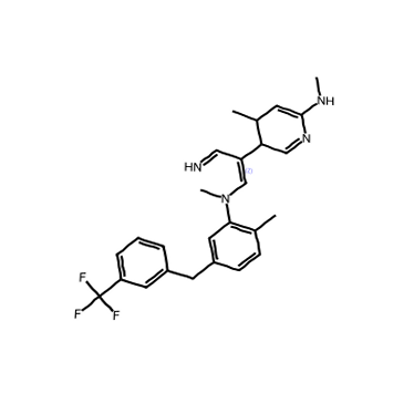 CNC1=CC(C)C(/C(C=N)=C/N(C)c2cc(Cc3cccc(C(F)(F)F)c3)ccc2C)C=N1